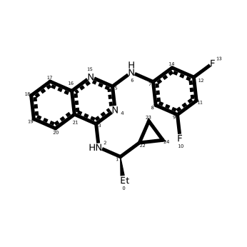 CC[C@@H](Nc1nc(Nc2cc(F)cc(F)c2)nc2ccccc12)C1CC1